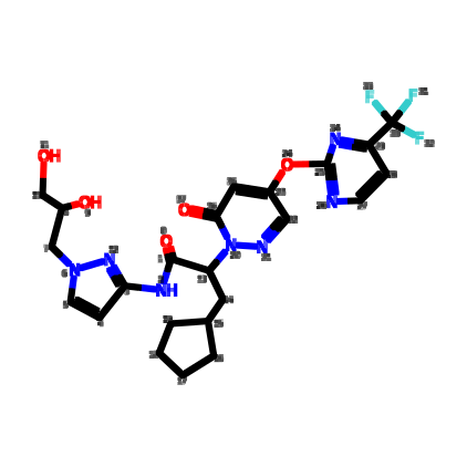 O=C(Nc1ccn(CC(O)CO)n1)C(CC1CCCC1)n1ncc(Oc2nccc(C(F)(F)F)n2)cc1=O